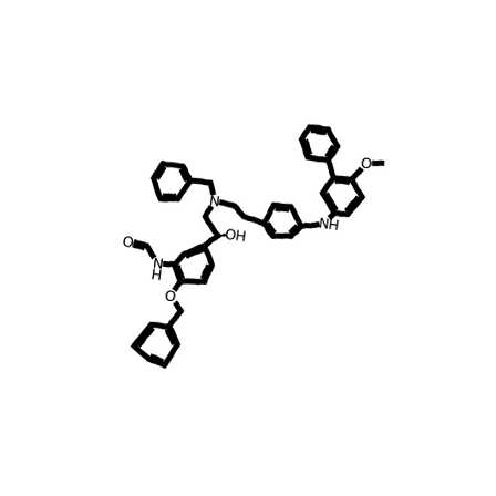 COc1ccc(Nc2ccc(CCN(Cc3ccccc3)C[C@H](O)c3ccc(OCc4ccccc4)c(NC=O)c3)cc2)cc1-c1ccccc1